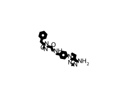 Nc1ncnc2c1ccn2-c1ccc(CNCC(=O)c2noc(Cc3ccccc3)n2)cc1